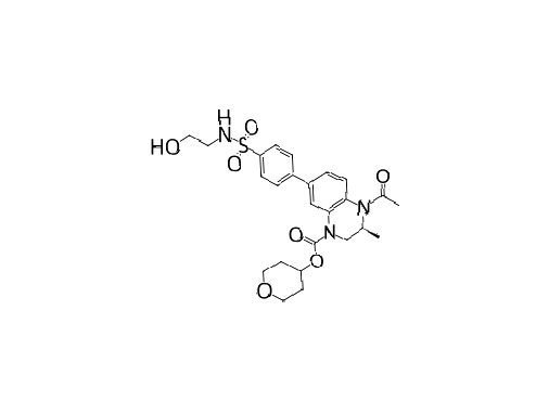 CC(=O)N1c2ccc(-c3ccc(S(=O)(=O)NCCO)cc3)cc2N(C(=O)OC2CCOCC2)C[C@@H]1C